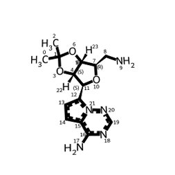 CC1(C)O[C@@H]2[C@H](O1)[C@@H](CN)O[C@H]2c1ccc2c(N)ncnn12